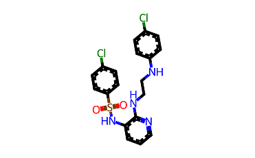 O=S(=O)(Nc1cccnc1NCCNc1ccc(Cl)cc1)c1ccc(Cl)cc1